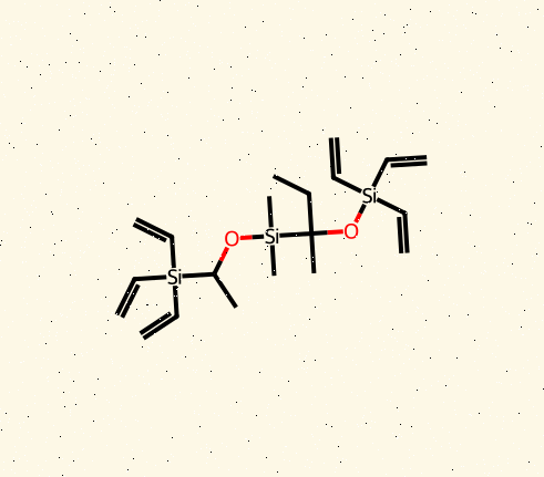 C=C[Si](C=C)(C=C)OC(C)(CC)[Si](C)(C)OC(C)[Si](C=C)(C=C)C=C